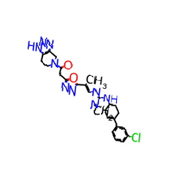 C=N/C(=N\C=C(/C)c1nnc(CC(=O)N2CCc3[nH]nnc3C2)o1)NC1CC=C(c2cccc(Cl)c2)CC1